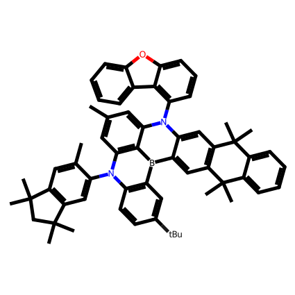 Cc1cc2c3c(c1)N(c1cccc4oc5ccccc5c14)c1cc4c(cc1B3c1cc(C(C)(C)C)ccc1N2c1cc2c(cc1C)C(C)(C)CC2(C)C)C(C)(C)c1ccccc1C4(C)C